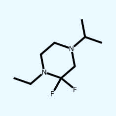 CCN1CCN(C(C)C)CC1(F)F